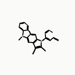 C=C/C=C(\C=C/C)n1c(C)c(C)c2cc3c(cc21)c1ccccc1n3C